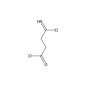 N=C(Cl)CCC(=O)Cl